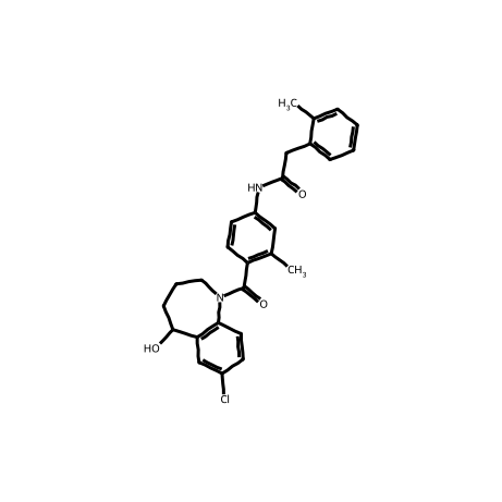 Cc1ccccc1CC(=O)Nc1ccc(C(=O)N2CCCC(O)c3cc(Cl)ccc32)c(C)c1